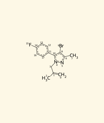 C=C(C)Cn1nc(C)c(Br)c1-c1ccc(F)cc1